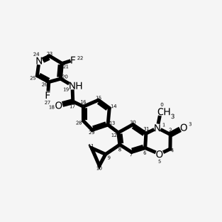 CN1C(=O)COc2cc(C3CC3)c(-c3ccc(C(=O)Nc4c(F)cncc4F)cc3)cc21